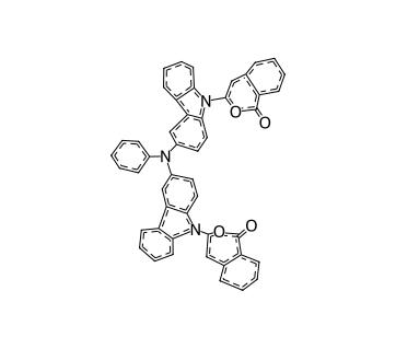 O=c1oc(-n2c3ccccc3c3cc(N(c4ccccc4)c4ccc5c(c4)c4ccccc4n5-c4cc5ccccc5c(=O)o4)ccc32)cc2ccccc12